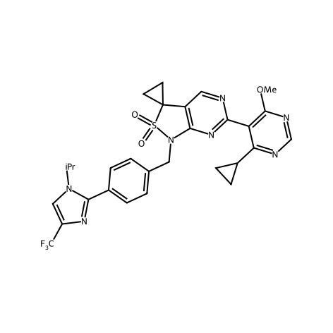 COc1ncnc(C2CC2)c1-c1ncc2c(n1)N(Cc1ccc(-c3nc(C(F)(F)F)cn3C(C)C)cc1)S(=O)(=O)C21CC1